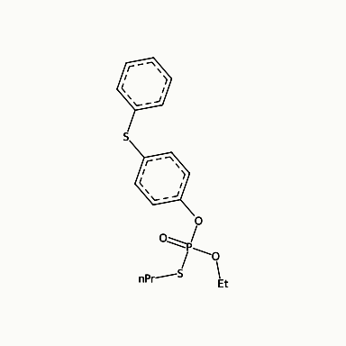 CCCSP(=O)(OCC)Oc1ccc(Sc2ccccc2)cc1